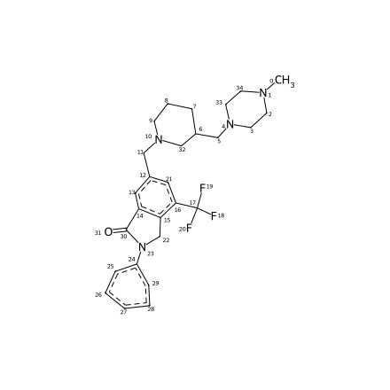 CN1CCN(CC2CCCN(Cc3cc4c(c(C(F)(F)F)c3)CN(c3ccccc3)C4=O)C2)CC1